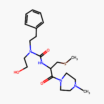 CSCC(NC(=O)N(CCO)CCc1ccccc1)C(=O)N1CCN(C)CC1